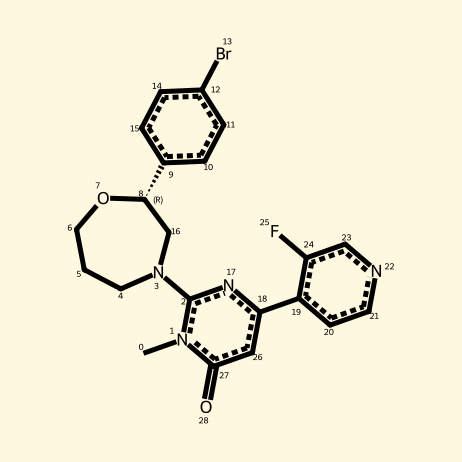 Cn1c(N2CCCO[C@H](c3ccc(Br)cc3)C2)nc(-c2ccncc2F)cc1=O